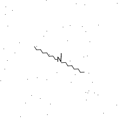 CCCCCCCCN(I)CCCCCCCC